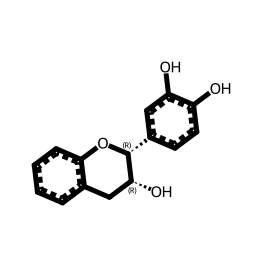 Oc1ccc([C@H]2Oc3ccccc3C[C@H]2O)cc1O